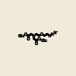 CC(C)(C)OC(=O)CN(CCOCCN=[N+]=[N-])CC(=O)OC(C)(C)C